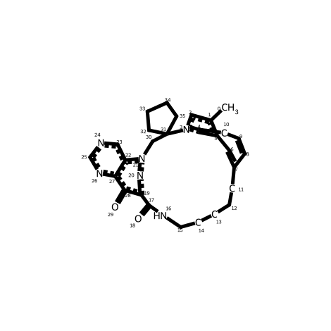 Cc1cn2c3c1C=C(C=CC3)CCCCCNC(=O)c1nn(c3cncnc3c1=O)CC21CCCC1